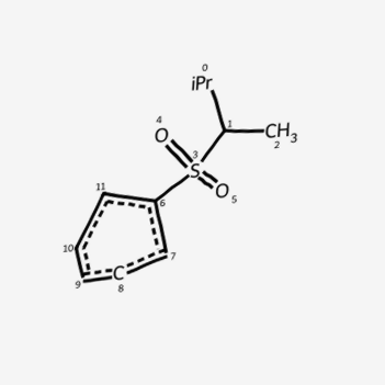 CC(C)C(C)S(=O)(=O)c1ccccc1